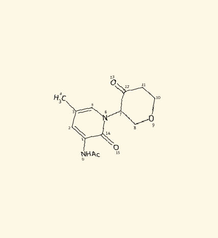 CC(=O)Nc1cc(C)cn(C2COCCC2=O)c1=O